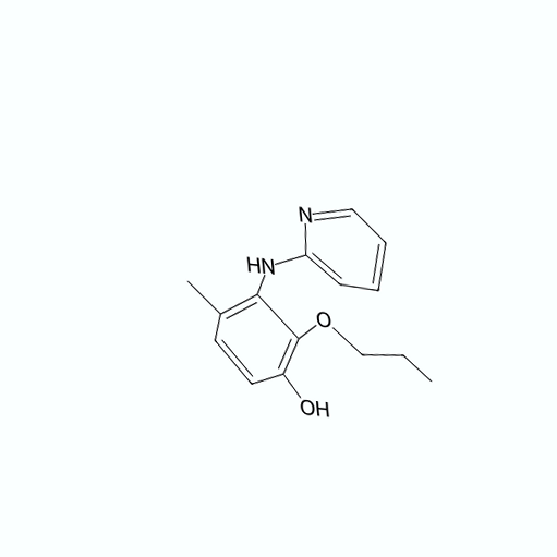 CCCOc1c(O)ccc(C)c1Nc1ccccn1